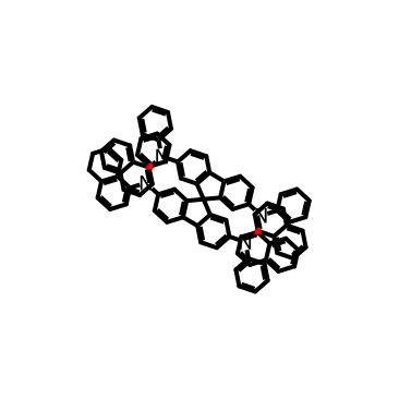 C1=Cc2c(cccc2N(c2ccccc2)c2ccc3c(c2)C2(c4cc(N(c5ccccc5)c5cccc6ccccc56)ccc4-3)c3cc(N(c4ccccc4)c4cccc5ccccc45)ccc3-c3ccc(N(c4ccccc4)c4cccc5ccccc45)cc32)CC1